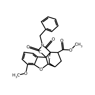 COC(=O)C1CC2CCC13C(=O)N(Cc1ccccc1)C(=O)CC31c3cccc(OC)c3OC21